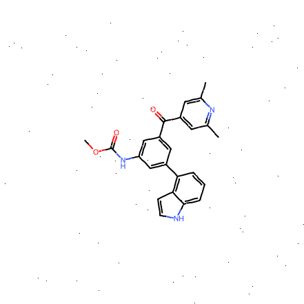 COC(=O)Nc1cc(C(=O)c2cc(C)nc(C)c2)cc(-c2cccc3[nH]ccc23)c1